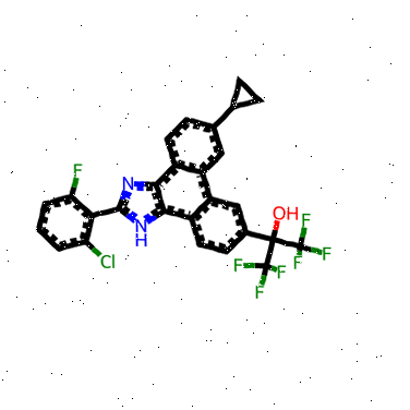 OC(c1ccc2c(c1)c1cc(C3CC3)ccc1c1nc(-c3c(F)cccc3Cl)[nH]c21)(C(F)(F)F)C(F)(F)F